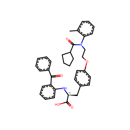 Cc1ccccc1N(CCOc1ccc(C[C@H](Nc2ccccc2C(=O)c2ccccc2)C(=O)O)cc1)C(=O)C1CCCC1